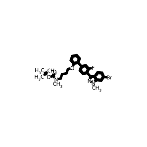 CN(CCCCOc1ccccc1-c1ccc(-c2nn(C)c3cc(Br)ccc23)c(F)c1)C(=O)OC(C)(C)C